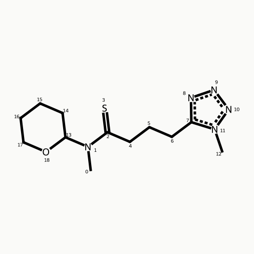 CN(C(=S)CCCc1nnnn1C)C1CCCCO1